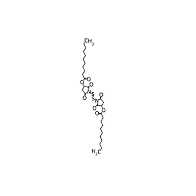 CCCCCCCCCCC(=O)OC1CC(=O)N(SSN2C(=O)CC(OC(=O)CCCCCCCCCC)C2=O)C1=O